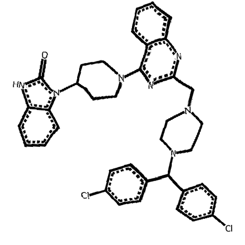 O=c1[nH]c2ccccc2n1C1CCN(c2nc(CN3CCN(C(c4ccc(Cl)cc4)c4ccc(Cl)cc4)CC3)nc3ccccc23)CC1